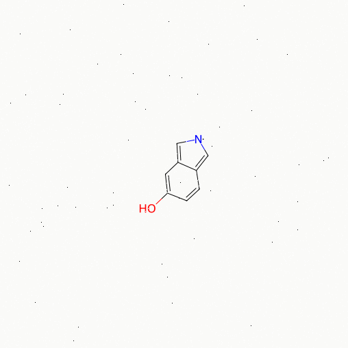 Oc1ccc2c(c1)=C[N]C=2